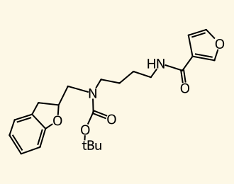 CC(C)(C)OC(=O)N(CCCCNC(=O)c1ccoc1)CC1Cc2ccccc2O1